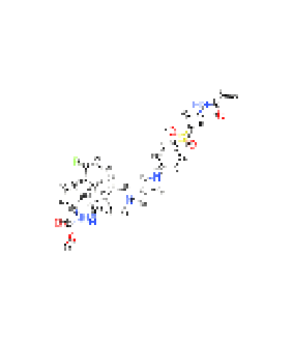 C=CC(=O)NC1CC(S(=O)(=O)c2ccc(N3CC(CN4CCC([C@@](C#N)(c5cccc(F)c5)[C@H]5CCC[C@@H]5NC(=O)OC)CC4)C3)cc2)C1